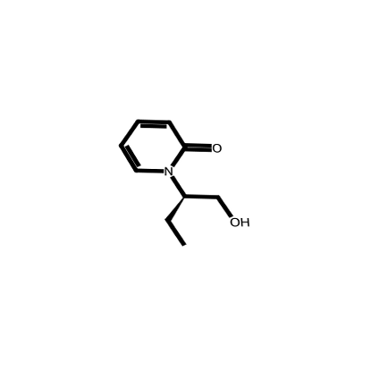 CC[C@H](CO)n1ccccc1=O